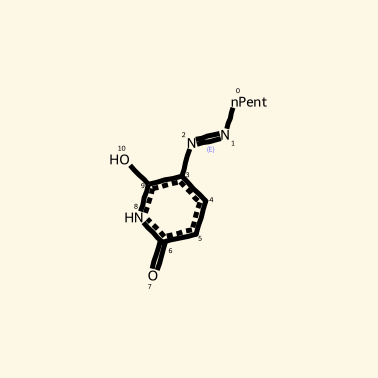 CCCCC/N=N/c1ccc(=O)[nH]c1O